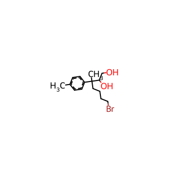 Cc1ccc(C(C)(CCCCBr)C(O)CO)cc1